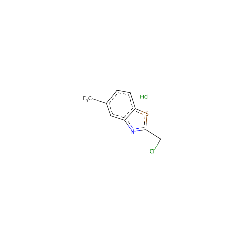 Cl.FC(F)(F)c1ccc2sc(CCl)nc2c1